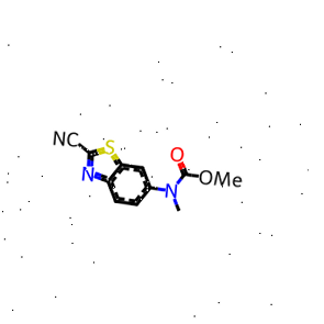 COC(=O)N(C)c1ccc2nc(C#N)sc2c1